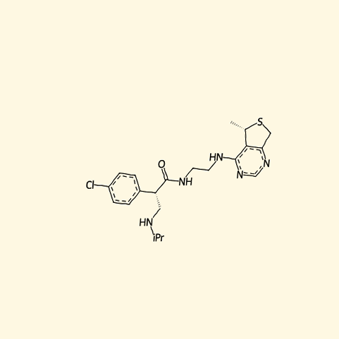 CC(C)NC[C@@H](C(=O)NCCNc1ncnc2c1[C@H](C)SC2)c1ccc(Cl)cc1